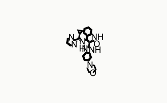 O=c1[nH]c2ccccc2c(N[C@@H](c2ncccn2)C2CC2)c1-c1nc2ccc(N3CCOCC3)cc2[nH]1